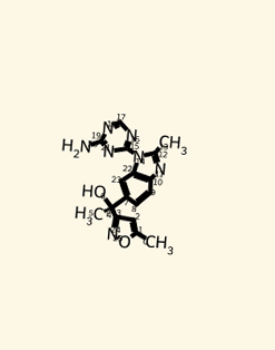 Cc1cc([C@](C)(O)c2ccc3nc(C)n(-c4ncnc(N)n4)c3c2)no1